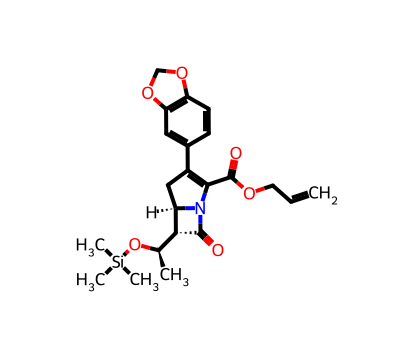 C=CCOC(=O)C1=C(c2ccc3c(c2)OCO3)C[C@@H]2[C@@H]([C@@H](C)O[Si](C)(C)C)C(=O)N12